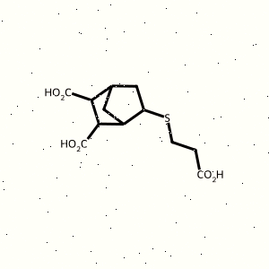 O=C(O)CCSC1CC2CC1C(C(=O)O)C2C(=O)O